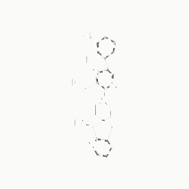 Cc1nc(N2CCC3(CC2)Cc2cccnc2[C@H]3N)c(CO)nc1-c1cccc(Cl)c1Cl